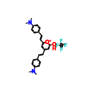 CN(C)c1ccc(C=Cc2cc(O)[o+]c(C=Cc3ccc(N(C)C)cc3)c2)cc1.F[B-](F)(F)F